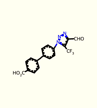 O=Cc1nnn(-c2ccc(-c3ccc(C(=O)O)cc3)cc2)c1C(F)(F)F